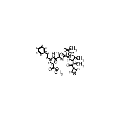 COC(=O)CC[C@H](CCc1ccccc1)NC(=O)c1csc([C@@H](CC(C(C)C)N(C)C(=O)C2COC2)OC(C)=O)n1